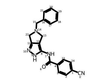 N#Cc1ccc(C(=O)Nc2[nH]nc3c2CN(Cc2ccccc2)C3)cc1